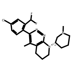 Cc1c(-c2ccc(Cl)cc2C(F)F)nnc2c1CCCN2[C@H]1CCCN(C)C1